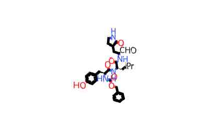 CC(C)C[C@H](NC(=O)[C@H](Cc1ccc(O)cc1)NC(=O)OCc1ccccc1)C(=O)N[C@H](C=O)CC1CCNC1=O